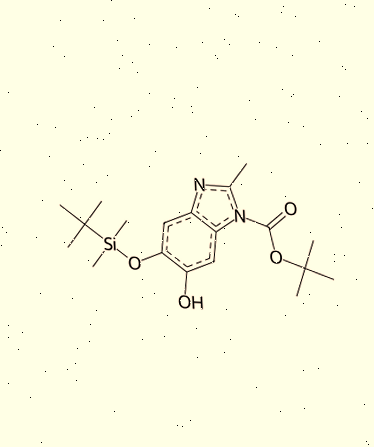 Cc1nc2cc(O[Si](C)(C)C(C)(C)C)c(O)cc2n1C(=O)OC(C)(C)C